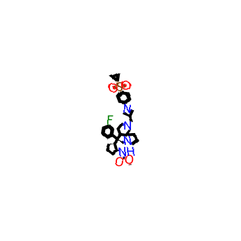 COC(=O)N[C@H]1CCC[C@@H]1[C@](CN1CCCC1)(c1cccc(F)c1)C1CCN(CC2CN(c3ccc(S(=O)(=O)C4CC4)cc3)C2)CC1